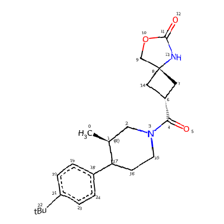 C[C@H]1CN(C(=O)[C@H]2C[C@]3(COC(=O)N3)C2)CCC1c1ccc(C(C)(C)C)cc1